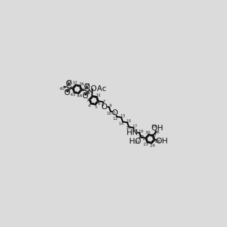 CC(=O)ON(c1cccc(COCCOCCCCCCNC[C@@H](O)c2ccc(O)c(CO)c2)c1)S(=O)(=O)c1ccc(S(C)(=O)=O)cc1